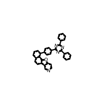 c1ccc(-c2nc(-c3ccccc3)nc(-c3ccc(-c4cccc5ccc6c7cnccc7oc6c45)cc3)n2)cc1